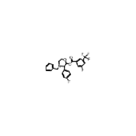 O=C(OC1OCCN(Cc2ccccc2)C1c1ccc(F)cc1)c1cc(F)cc(C(F)(F)F)c1